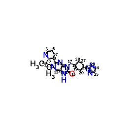 CC(C)c1ncccc1-c1ncc2[nH]c(=O)n(Cc3ccc(-n4nccn4)cc3)c2n1